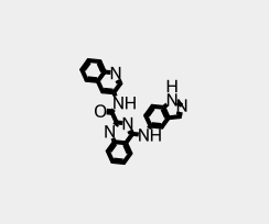 O=C(Nc1cnc2ccccc2c1)c1nc(Nc2ccc3[nH]ncc3c2)c2ccccc2n1